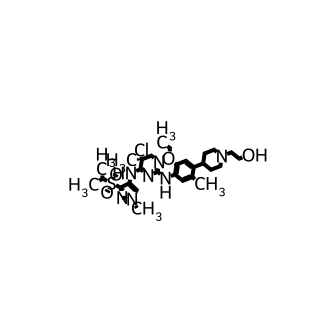 CCOc1cc(C2CCN(CCO)CC2)c(C)cc1NC1=NC[C@@](C)(Cl)C(Nc2cn(C)nc2S(=O)(=O)C(C)C)=N1